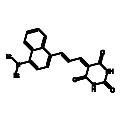 CCN(CC)c1ccc(/C=C/C=C2C(=O)NC(=O)NC2=O)c2ccccc12